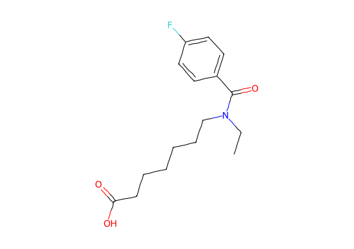 CCN(CCCCCCC(=O)O)C(=O)c1ccc(F)cc1